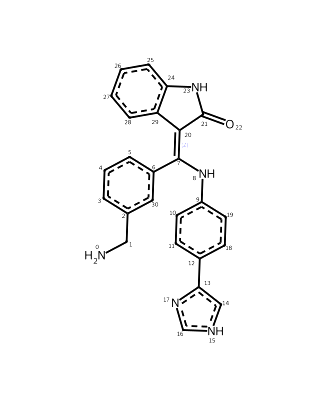 NCc1cccc(/C(Nc2ccc(-c3c[nH]cn3)cc2)=C2/C(=O)Nc3ccccc32)c1